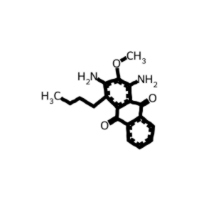 CCCCc1c(N)c(OC)c(N)c2c1C(=O)c1ccccc1C2=O